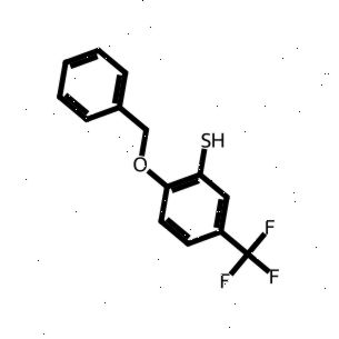 FC(F)(F)c1ccc(OCc2ccccc2)c(S)c1